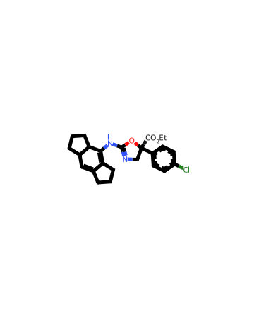 CCOC(=O)C1(c2ccc(Cl)cc2)CN=C(NC2=C3CCCC3=CC3CCCC23)O1